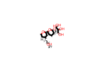 C1CCOCC1.C1CCOCC1.CC(C)=O.CC(C)O.CCO.OCC(O)CO